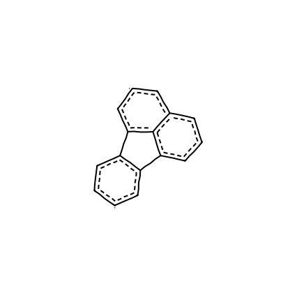 [c]1ccc2c(c1)-c1cccc3c[c]cc-2c13